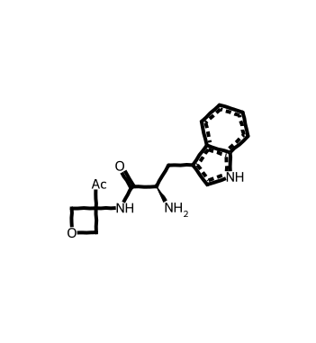 CC(=O)C1(NC(=O)[C@H](N)Cc2c[nH]c3ccccc23)COC1